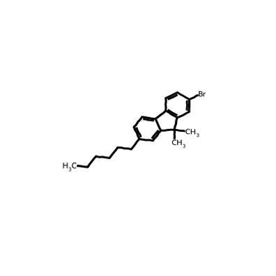 CCCCCCc1ccc2c(c1)C(C)(C)c1cc(Br)ccc1-2